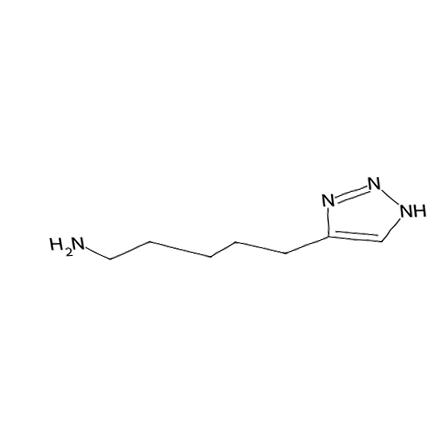 NCCCCCc1c[nH]nn1